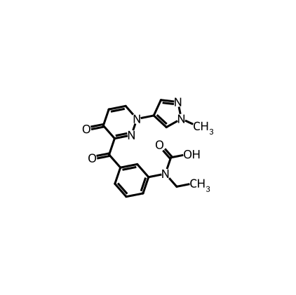 CCN(C(=O)O)c1cccc(C(=O)c2nn(-c3cnn(C)c3)ccc2=O)c1